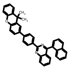 CC1(C)c2ccccc2Oc2ccc(-c3ccc(-c4nc(-c5cccc6ccccc56)c5ccccc5n4)cc3)cc21